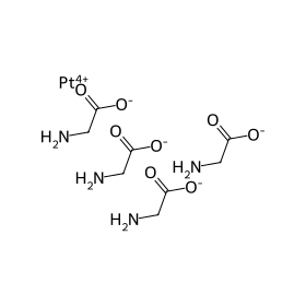 NCC(=O)[O-].NCC(=O)[O-].NCC(=O)[O-].NCC(=O)[O-].[Pt+4]